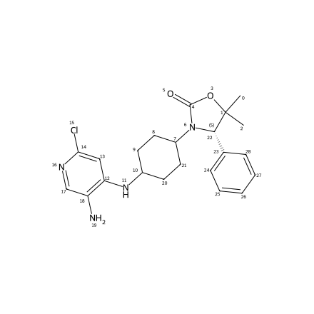 CC1(C)OC(=O)N(C2CCC(Nc3cc(Cl)ncc3N)CC2)[C@H]1c1ccccc1